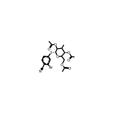 CC(=O)OCC1O[C@H](Sc2ccc(C#N)c(Br)c2)C(OC(C)=O)C(C)[C@H]1OC(C)=O